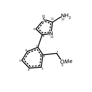 COCc1ccccc1-c1csc(N)n1